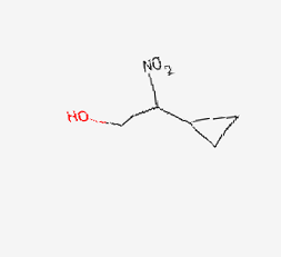 O=[N+]([O-])C(CO)C1CC1